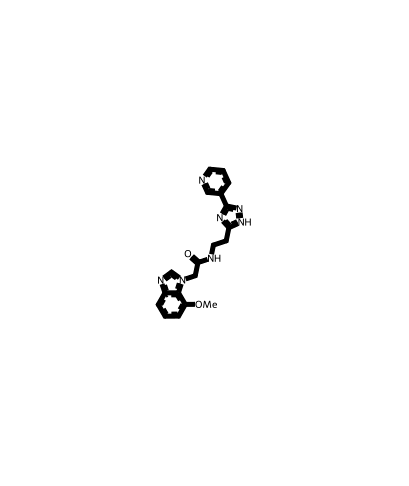 COc1cccc2ncn(CC(=O)NCCc3nc(-c4cccnc4)n[nH]3)c12